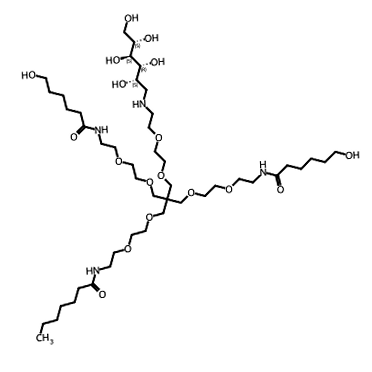 CCCCCCC(=O)NCCOCCOCC(COCCOCCNC[C@H](O)[C@@H](O)[C@@H](O)[C@@H](O)CO)(COCCOCCNC(=O)CCCCCO)COCCOCCNC(=O)CCCCCO